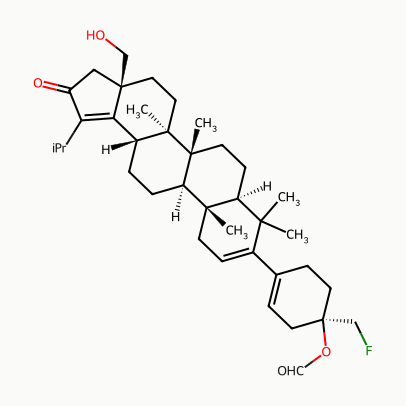 CC(C)C1=C2[C@H]3CC[C@@H]4[C@@]5(C)CC=C(C6=CC[C@](CF)(OC=O)CC6)C(C)(C)[C@@H]5CC[C@@]4(C)[C@]3(C)CC[C@@]2(CO)CC1=O